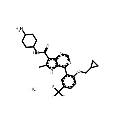 Cc1[nH]c2c(-c3cc(C(F)(F)F)ccc3OCC3CC3)ncnc2c1C(=O)NC1CCC(N)CC1.Cl